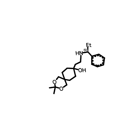 CC[C@H](NCCC1(O)CCC2(CC1)COC(C)(C)OC2)c1ccccc1